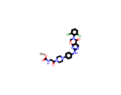 CC(C)(C)OC(=O)NCC(=O)N1CCN(c2ccc(Nc3ncc4c(n3)OCN(c3c(Cl)cccc3Cl)C4=O)cc2)CC1